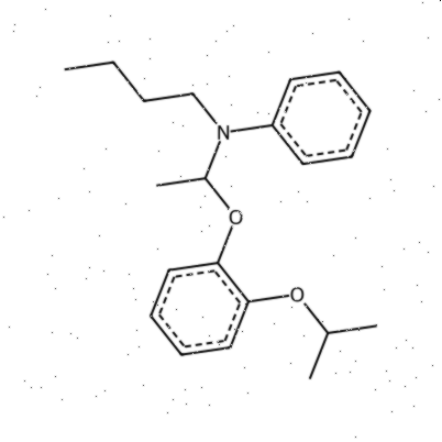 CCCCN(c1ccccc1)C(C)Oc1ccccc1OC(C)C